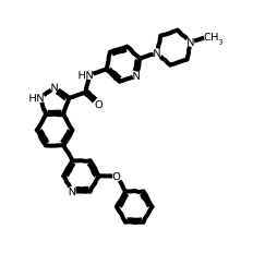 CN1CCN(c2ccc(NC(=O)c3n[nH]c4ccc(-c5cncc(Oc6ccccc6)c5)cc34)cn2)CC1